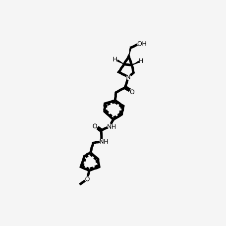 COc1ccc(CNC(=O)Nc2ccc(CC(=O)N3C[C@@H]4[C@@H](CO)[C@@H]4C3)cc2)cc1